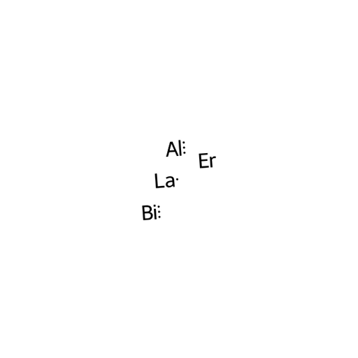 [Al].[Bi].[Er].[La]